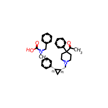 CC(=O)C1(c2ccccc2)CCN(C[C@@H]2C[C@@H]2c2ccccc2)CC1.CN(Cc1ccccc1)C(=O)O